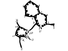 Cc1cc2ccccc2c(-n2nc(C)cc2C)n1